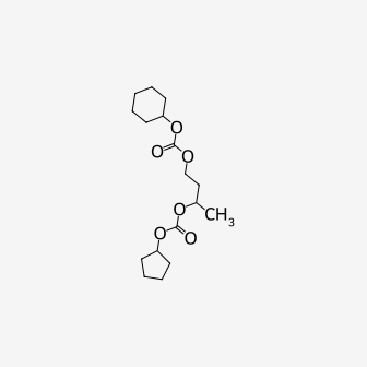 CC(CCOC(=O)OC1CCCCC1)OC(=O)OC1CCCC1